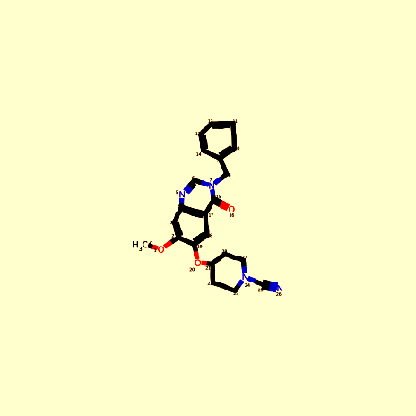 COc1cc2ncn(Cc3ccccc3)c(=O)c2cc1OC1CCN(C#N)CC1